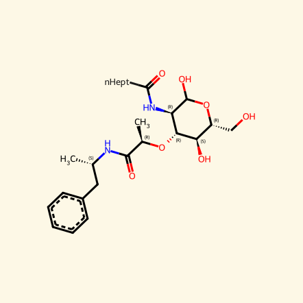 CCCCCCCC(=O)N[C@H]1C(O)O[C@H](CO)[C@@H](O)[C@@H]1O[C@H](C)C(=O)N[C@@H](C)Cc1ccccc1